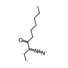 [CH2][CH]C(=[N+]=[N-])C(=O)CCCCCC